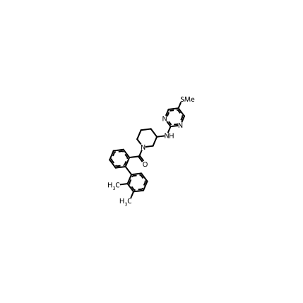 CSc1cnc(NC2CCCN(C(=O)c3ccccc3-c3cccc(C)c3C)C2)nc1